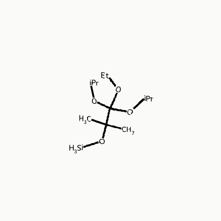 CCOC(OC(C)C)(OC(C)C)C(C)(C)O[SiH3]